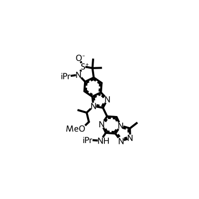 COCC(C)n1c(-c2cn3c(C)nnc3c(NC(C)C)n2)nc2cc3c(cc21)N(C(C)C)[S+]([O-])C3(C)C